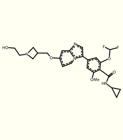 COc1cc(-c2cnc3cc(OCC4CN(CCO)C4)ccn23)cc(OC(F)F)c1C(=O)NC1CC1